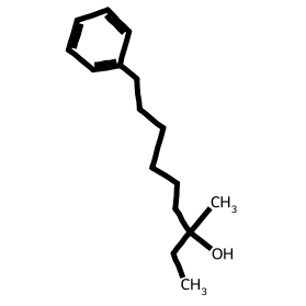 CCC(C)(O)CCCCCCc1ccccc1